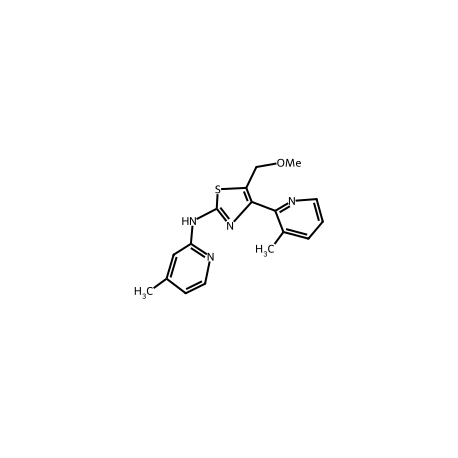 COCc1sc(Nc2cc(C)ccn2)nc1-c1ncccc1C